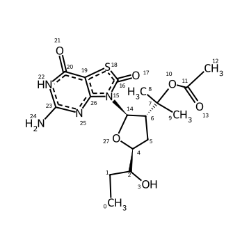 CCC(O)[C@@H]1C[C@@H](C(C)(C)OC(C)=O)[C@H](n2c(=O)sc3c(=O)[nH]c(N)nc32)O1